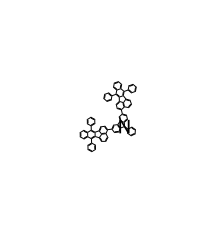 c1ccc(-c2c3c(c(-c4ccccc4)c4ccccc24)-c2ccc(-c4ccc5c(c4)c4cc(-c6ccc7c8c(cccc68)-c6c-7c(-c7ccccc7)c7ccccc7c6-c6ccccc6)ccc4n5-c4ccccc4)c4cccc-3c24)cc1